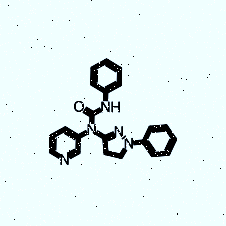 O=C(Nc1ccccc1)N(C1=NN(c2ccccc2)CC1)c1cccnc1